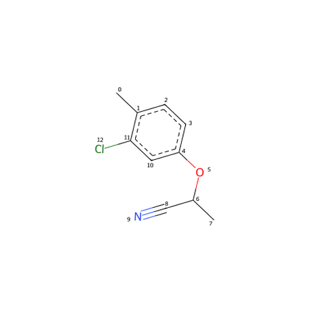 Cc1ccc(OC(C)C#N)cc1Cl